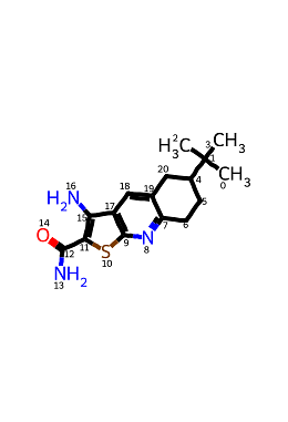 CC(C)(C)C1CCc2nc3sc(C(N)=O)c(N)c3cc2C1